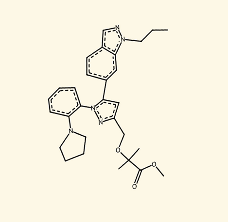 CCCn1ncc2ccc(-c3cc(COC(C)(C)C(=O)OC)nn3-c3ccccc3N3CCCC3)cc21